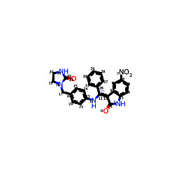 O=C1Nc2ccc([N+](=O)[O-])cc2/C1=C(/Nc1ccc(CN2CCNC2=O)cc1)c1ccccc1